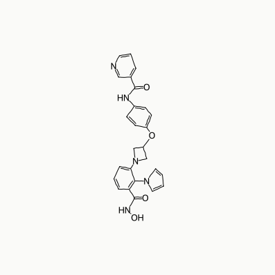 O=C(Nc1ccc(OC2CN(c3cccc(C(=O)NO)c3-n3cccc3)C2)cc1)c1cccnc1